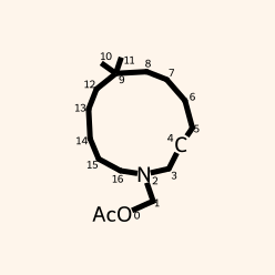 CC(=O)OCN1CCCCCCC(C)(C)CCCCC1